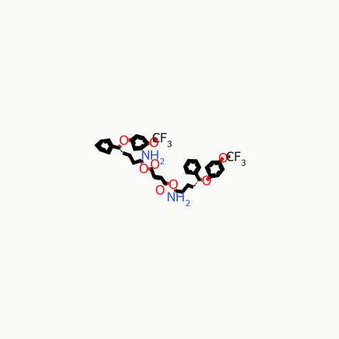 NC(CCC[C@@H](Oc1ccc(OC(F)(F)F)cc1)c1ccccc1)OC(=O)/C=C/C(=O)OC(N)CCC[C@@H](Oc1ccc(OC(F)(F)F)cc1)c1ccccc1